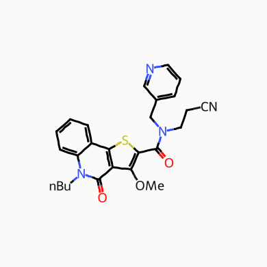 CCCCn1c(=O)c2c(OC)c(C(=O)N(CCC#N)Cc3cccnc3)sc2c2ccccc21